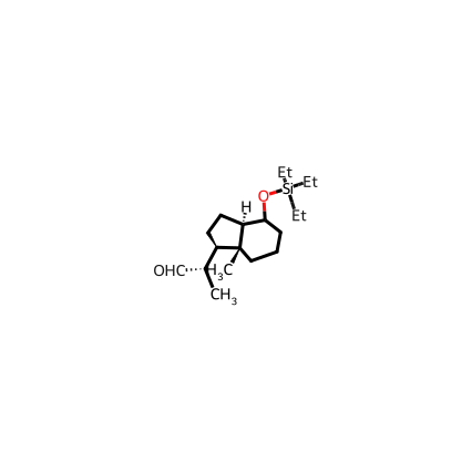 CC[Si](CC)(CC)OC1CCC[C@]2(C)[C@@H]([C@H](C)C=O)CC[C@@H]12